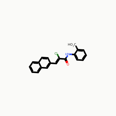 O=C(Nc1ccccc1C(=O)O)/C(Cl)=C/c1ccc2ccccc2c1